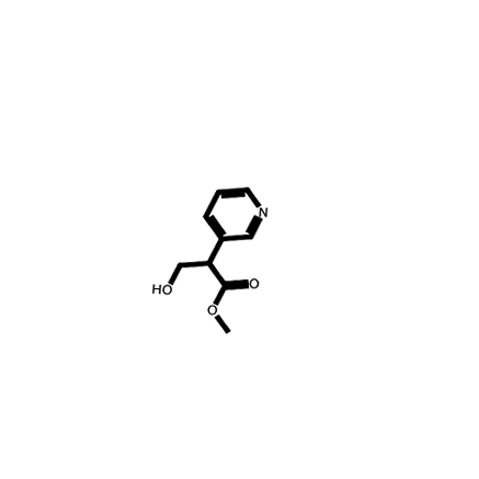 COC(=O)C(CO)c1cccnc1